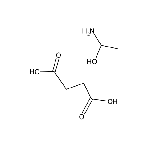 CC(N)O.O=C(O)CCC(=O)O